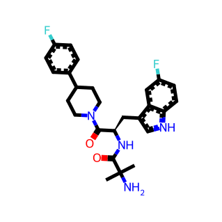 CC(C)(N)C(=O)N[C@H](Cc1c[nH]c2ccc(F)cc12)C(=O)N1CCC(c2ccc(F)cc2)CC1